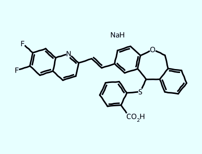 O=C(O)c1ccccc1SC1c2ccccc2COc2ccc(C=Cc3ccc4cc(F)c(F)cc4n3)cc21.[NaH]